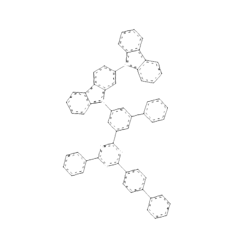 c1ccc(-c2ccc(-c3nc(-c4ccccc4)nc(-c4cc(-c5ccccc5)cc(-n5c6ccccc6c6ccc(-n7c8ccccc8c8ccccc87)cc65)c4)n3)cc2)cc1